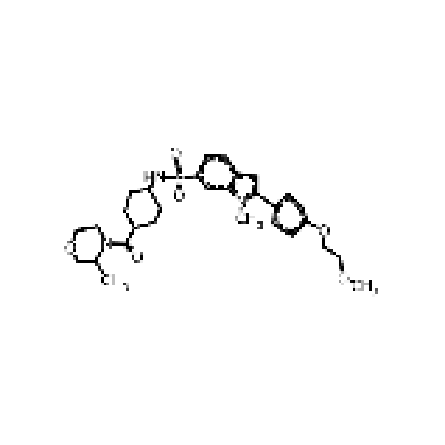 COCCOc1ccc(-c2cc3ccc(S(=O)(=O)NC4CCC(C(=O)N5CCOCC5C)CC4)cc3n2C)cc1